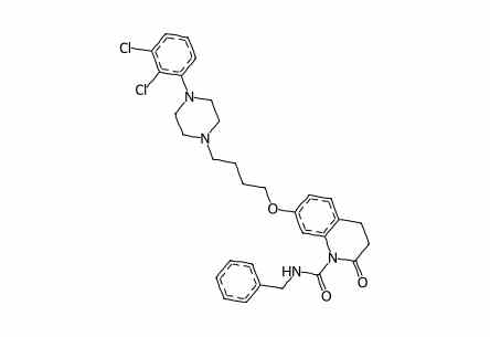 O=C1CCc2ccc(OCCCCN3CCN(c4cccc(Cl)c4Cl)CC3)cc2N1C(=O)NCc1ccccc1